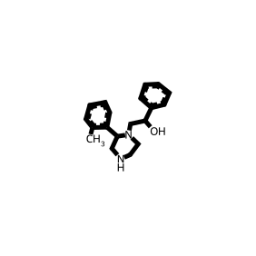 Cc1ccccc1C1CNCCN1CC(O)c1ccccc1